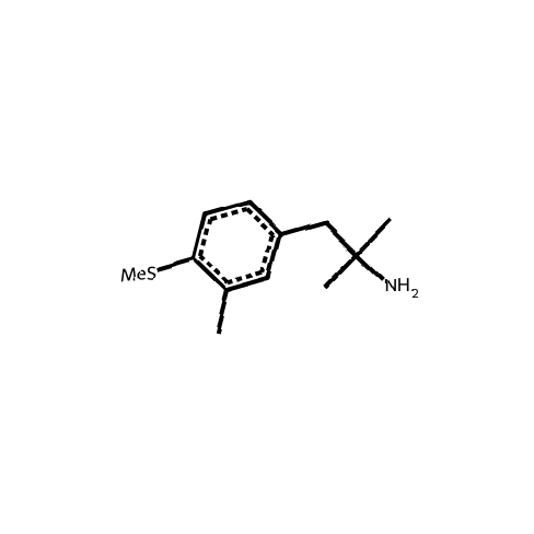 CSc1ccc(CC(C)(C)N)cc1C